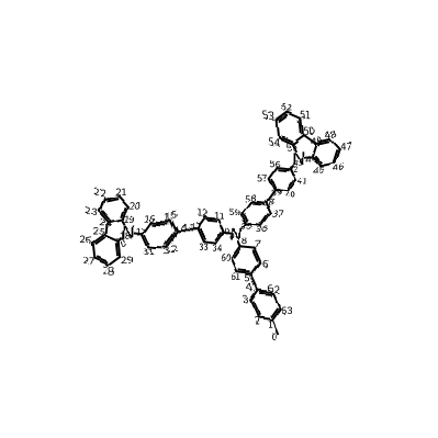 Cc1ccc(-c2ccc(N(c3ccc(-c4ccc(-n5c6ccccc6c6ccccc65)cc4)cc3)c3ccc(-c4ccc(-n5c6ccccc6c6ccccc65)cc4)cc3)cc2)cc1